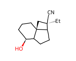 CC[C@@]1(C#N)C[C@]23CCC[C@H](O)C2CCC13